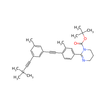 Cc1cc(C#Cc2ccc(C3=NCCCN3C(=O)OC(C)(C)C)cc2C)cc(C#C[Si](C)(C)C)c1